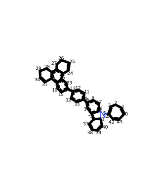 C1=CCC=C(N2c3ccc(-c4ccc(-c5ccc6c7c(c8c(c6c5)C=CCC8)CCC=C7)cc4)cc3C3C=CC=CC32)C=C1